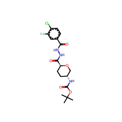 CC(C)(C)OC(=O)N[C@@H]1CC[C@@H](C(=O)NNC(=O)c2ccc(Cl)c(F)c2)OC1